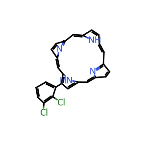 Clc1cccc(-c2cc3cc4nc(cc5ccc(cc6nc(cc2[nH]3)C=C6)[nH]5)C=C4)c1Cl